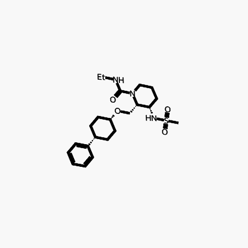 CCNC(=O)N1CCC[C@H](NS(C)(=O)=O)[C@@H]1CO[C@H]1CC[C@@H](c2ccccc2)CC1